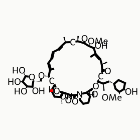 CO[C@@H]1C[C@H](C[C@@H](C)[C@@H]2CC(=O)[C@H](C)/C=C(\C)[C@@H](O)[C@@H](OC)C(=O)[C@H](C)C[C@H](C)/C=C/C=C/C=C(\C)[C@@H](OC[C@H]3O[C@@H](O)[C@H](O)[C@@H](O)[C@@H]3O)C[C@@H]3CC[C@@H](C)[C@@](O)(O3)C(=O)C(=O)N3CCCC[C@H]3C(=O)O2)CC[C@H]1O